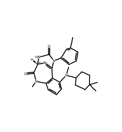 Cc1cccc(N2C(=O)N[C@@H]3N=C2c2c(cccc2N(C)C2CCC(C)(C)CC2)N(C)C3=O)c1